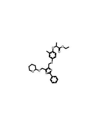 CCOC(=O)C(C)Oc1ccc(SCc2sc(-c3ccccc3)nc2COC2CCCCO2)cc1C